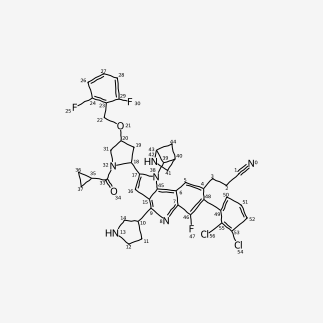 N#CCCc1cc2c(nc(C3CCNC3)c3cc(C4CC(OCc5c(F)cccc5F)CN4C(=O)C4CC4)n(C4C5CNC4C5)c32)c(F)c1-c1cccc(Cl)c1Cl